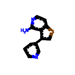 Nc1nccc2scc(-c3cccnc3)c12